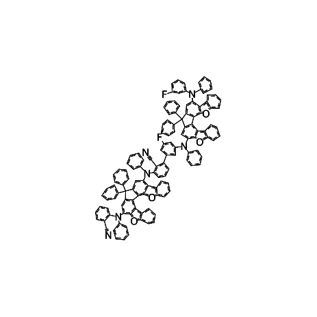 N#Cc1ccccc1N(c1ccccc1)c1cc2c(c3c1oc1ccccc13)-c1c(cc(N(c3ccccc3)c3cccc(-c4cc(F)cc(N(c5ccccc5)c5cc6c(c7c5oc5ccccc57)-c5c(cc(N(c7ccccc7)c7cccc(F)c7)c7c5oc5ccccc57)C6(c5ccccc5)c5ccccc5)c4)c3C#N)c3c1oc1ccccc13)C2(c1ccccc1)c1ccccc1